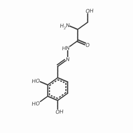 NC(CO)C(=O)NN=Cc1ccc(O)c(O)c1O